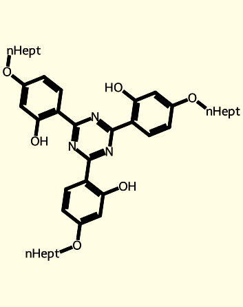 CCCCCCCOc1ccc(-c2nc(-c3ccc(OCCCCCCC)cc3O)nc(-c3ccc(OCCCCCCC)cc3O)n2)c(O)c1